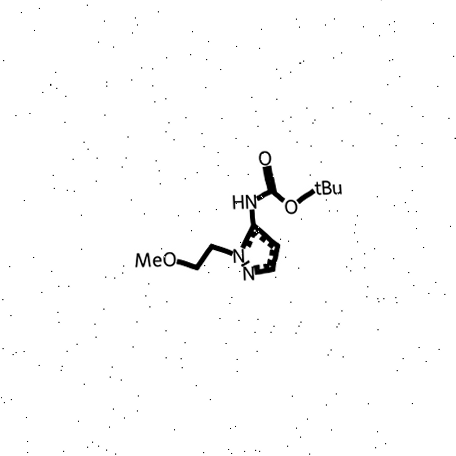 COCCn1nccc1NC(=O)OC(C)(C)C